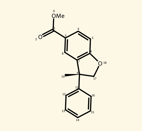 COC(=O)c1ccc2c(c1)[C@@](C)(c1ccccc1)CO2